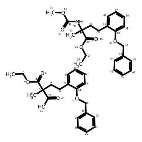 CCOC(=O)C(C)(CCc1ccccc1OCc1ccccc1)C(=O)O.CCOC(=O)C(C)(CCc1ccccc1OCc1ccccc1)NC(=O)OC